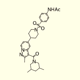 CC(=O)Nc1ccc(S(=O)(=O)N2CCC(c3ccn4nc(C)c(C(=O)N5CC(C)CC(C)C5)c4c3)CC2)cc1